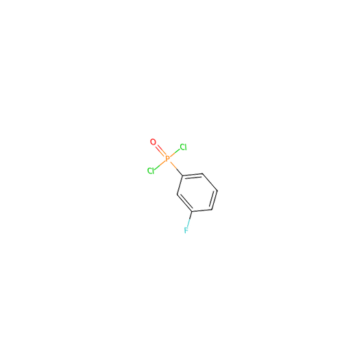 O=P(Cl)(Cl)c1cccc(F)c1